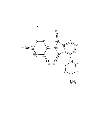 NC1CCN(c2cccc3c2C(=O)N(C2CCC(=O)NC2=O)C3=O)CC1